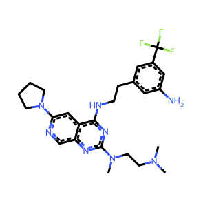 CN(C)CCN(C)c1nc(NCCc2cc(N)cc(C(F)(F)F)c2)c2cc(N3CCCC3)ncc2n1